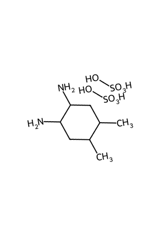 CC1CC(N)C(N)CC1C.O=S(=O)(O)O.O=S(=O)(O)O